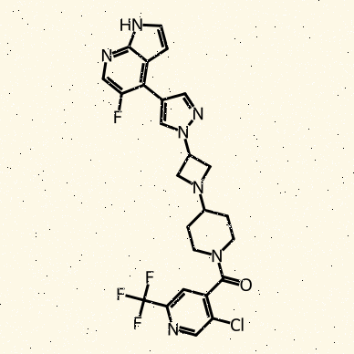 O=C(c1cc(C(F)(F)F)ncc1Cl)N1CCC(N2CC(n3cc(-c4c(F)cnc5[nH]ccc45)cn3)C2)CC1